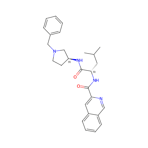 CC(C)C[C@H](NC(=O)c1cc2ccccc2cn1)C(=O)N[C@H]1CCN(Cc2ccccc2)C1